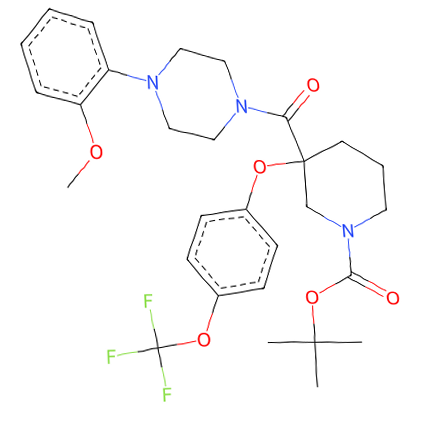 COc1ccccc1N1CCN(C(=O)C2(Oc3ccc(OC(F)(F)F)cc3)CCCN(C(=O)OC(C)(C)C)C2)CC1